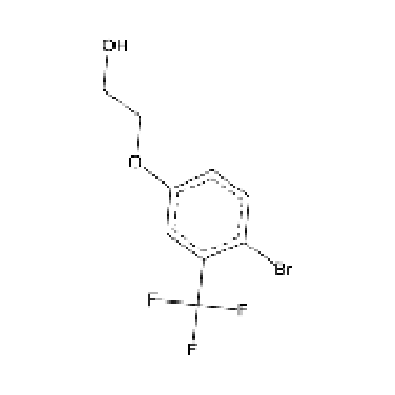 OCCOc1ccc(Br)c(C(F)(F)F)c1